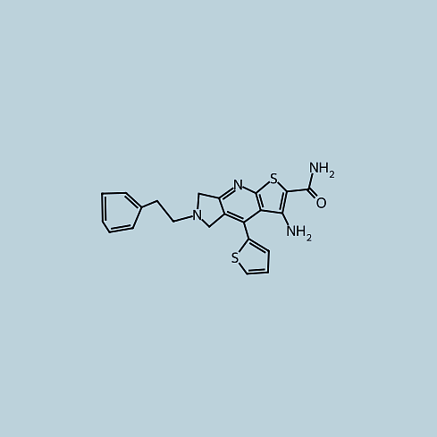 NC(=O)c1sc2nc3c(c(-c4cccs4)c2c1N)CN(CCc1ccccc1)C3